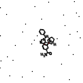 NC(=O)c1cccc([C@H]2C[C@H]3CC[C@@H](C2)N3Cc2cncn2Cc2ccccc2)c1